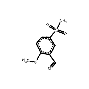 COc1ccc(S(N)(=O)=O)cc1C=O